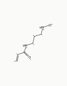 C=CC(=O)NCCCNCl